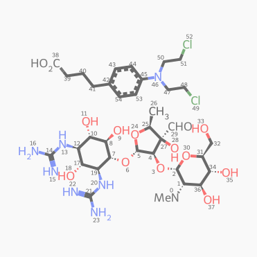 CN[C@@H]1[C@H](O[C@H]2[C@H](O[C@H]3[C@H](O)[C@@H](O)[C@H](NC(=N)N)[C@@H](O)[C@@H]3NC(=N)N)O[C@@H](C)[C@]2(O)C=O)O[C@@H](CO)[C@H](O)[C@H]1O.O=C(O)CCCc1ccc(N(CCCl)CCCl)cc1